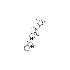 Cc1cc(C)cc(CN2CCCC3(CCN(c4cnc5ccccc5n4)CC3)C2=O)c1